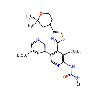 CCNC(=O)Nc1ncc(-c2cncc(C(=O)OCC)c2)c(-c2nc(C3CCOC(C)(C)C3)cs2)c1C(=O)OCC